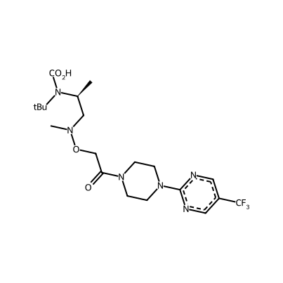 C[C@@H](CN(C)OCC(=O)N1CCN(c2ncc(C(F)(F)F)cn2)CC1)N(C(=O)O)C(C)(C)C